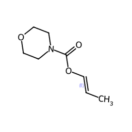 C/C=C/OC(=O)N1CCOCC1